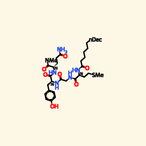 CCCCCCCCCCCCCCCC(=O)N[C@@H](CCSC)C(=O)NCC(=O)N[C@@H](Cc1ccc(O)cc1)C(=O)N[C@@H](CCC(N)=O)C(=O)NC